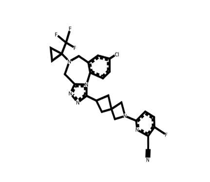 N#Cc1nc(N2CC3(CC(c4nnc5n4-c4ccc(Cl)cc4CN(C4(C(F)(F)F)CC4)C5)C3)C2)ccc1F